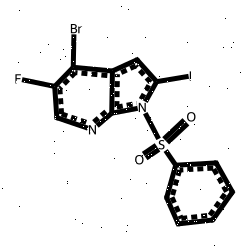 O=S(=O)(c1ccccc1)n1c(I)cc2c(Br)c(F)cnc21